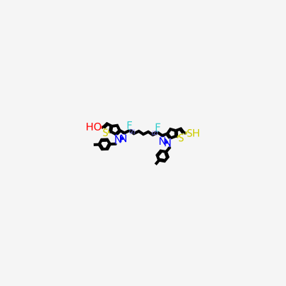 Cc1ccc(Cn2nc(/C(F)=C/CCC/C=C(\F)c3nn(Cc4ccc(C)cc4)c4c3Cc3cc(S)sc3-4)c3c2-c2sc(O)cc2C3)cc1